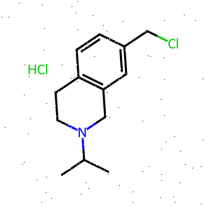 CC(C)N1CCc2ccc(CCl)cc2C1.Cl